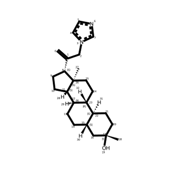 C=C(Cn1ccnc1)[C@H]1CC[C@H]2[C@@H]3CC[C@H]4C[C@@](C)(O)CC[C@@H]4[C@H]3CC[C@]12C